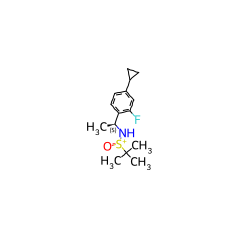 C[C@H](N[S+]([O-])C(C)(C)C)c1ccc(C2CC2)cc1F